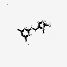 Cc1cc(C)nc(SCc2cnc(Cl)n2C)n1